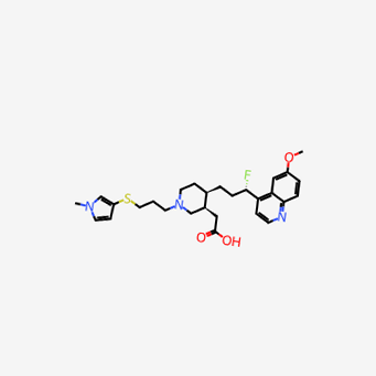 COc1ccc2nccc([C@@H](F)CC[C@@H]3CCN(CCCSc4ccn(C)c4)C[C@@H]3CC(=O)O)c2c1